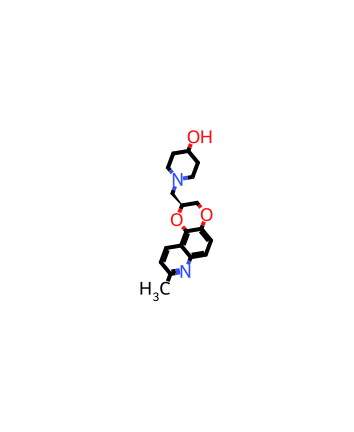 Cc1ccc2c3c(ccc2n1)OC[C@H](CN1CCC(O)CC1)O3